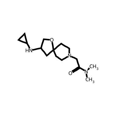 CN(C)C(=O)CN1CCC2(CC1)CC(NC1CC1)CO2